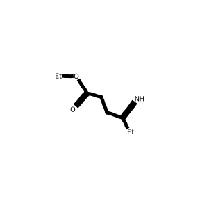 CCOC(=O)CCC(=N)CC